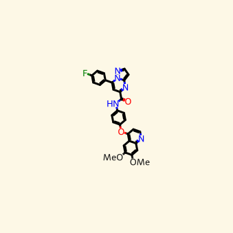 COc1cc2nccc(Oc3ccc(NC(=O)c4cc(-c5ccc(F)cc5)n5nccc5n4)cc3)c2cc1OC